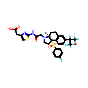 O=C(O)Cc1csc(NC(=O)CN2CC[C@]3(S(=O)(=O)c4ccc(F)cc4)c4ccc(C(F)(C(F)(F)F)C(F)(F)F)cc4CC[C@H]23)n1